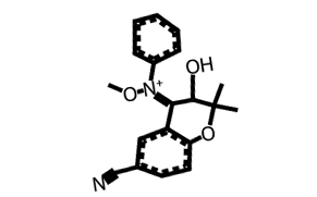 CO[N+](=C1c2cc(C#N)ccc2OC(C)(C)C1O)c1ccccc1